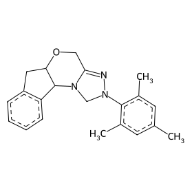 Cc1cc(C)c(N2CN3C(=N2)COC2Cc4ccccc4C23)c(C)c1